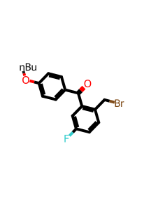 CCCCOc1ccc(C(=O)c2cc(F)ccc2CBr)cc1